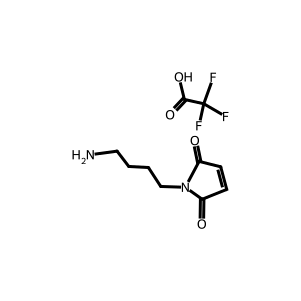 NCCCCN1C(=O)C=CC1=O.O=C(O)C(F)(F)F